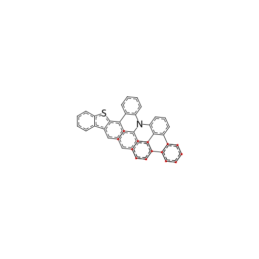 c1ccc(-c2ccccc2-c2c(-c3ccccc3)cccc2N(c2ccccc2-c2cccc3c2sc2ccccc23)c2cccc3ccccc23)cc1